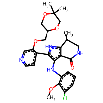 COc1c(Cl)cccc1Nc1c(-c2ccncc2OC[C@H]2COC(C)(C)CO2)[nH]c2c1C(=O)NC[C@@H]2C